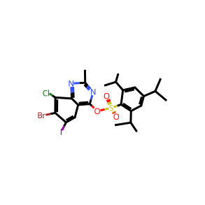 Cc1nc(OS(=O)(=O)c2c(C(C)C)cc(C(C)C)cc2C(C)C)c2cc(I)c(Br)c(Cl)c2n1